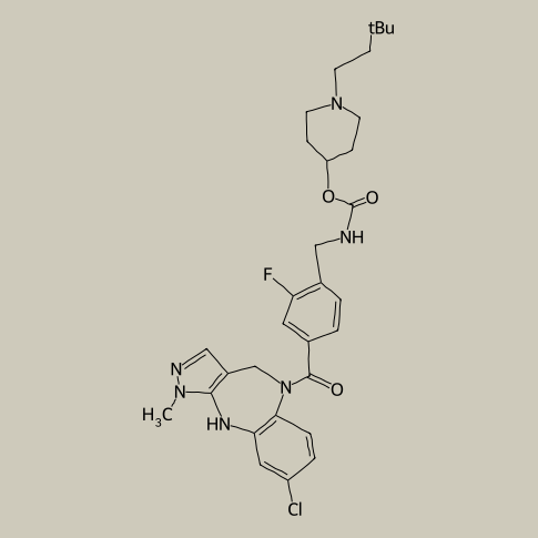 Cn1ncc2c1Nc1cc(Cl)ccc1N(C(=O)c1ccc(CNC(=O)OC3CCN(CCC(C)(C)C)CC3)c(F)c1)C2